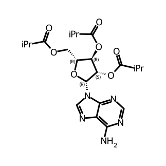 CC(C)C(=O)OC[C@H]1O[C@@H](n2cnc3c(N)ncnc32)[C@@H](OC(=O)C(C)C)[C@@H]1OC(=O)C(C)C